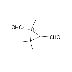 CC1(C)C(C=O)[C@@]1(C)C=O